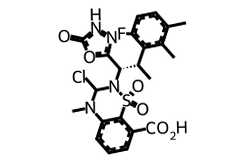 Cc1ccc(F)c(C(C)[C@@H](c2n[nH]c(=O)o2)N2C(Cl)N(C)c3cccc(C(=O)O)c3S2(=O)=O)c1C